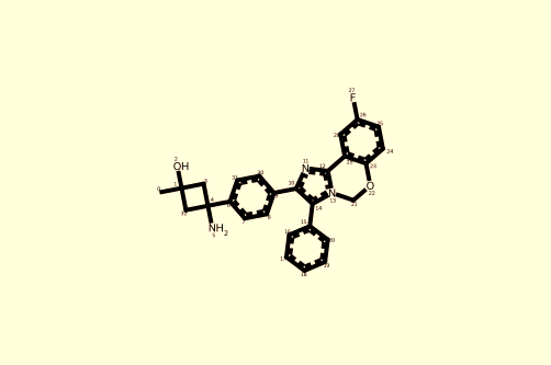 CC1(O)CC(N)(c2ccc(-c3nc4n(c3-c3ccccc3)COc3ccc(F)cc3-4)cc2)C1